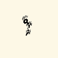 [CH2]CCOc1ccc(-c2nnc(CSc3nnc(C)s3)o2)cc1